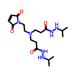 CC(C)NNC(=O)CCN(CCC(=O)NNC(C)C)CCN1C(=O)C=CC1=O